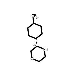 FC(F)(F)C1CCC([C@H]2COCCN2)CC1